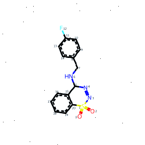 O=S1(=O)N=NC(NCc2ccc(F)cc2)c2ccccc21